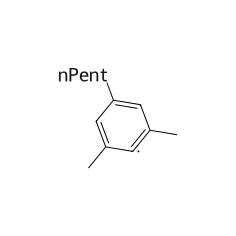 CCCCCc1cc(C)[c]c(C)c1